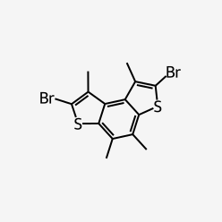 Cc1c(C)c2sc(Br)c(C)c2c2c(C)c(Br)sc12